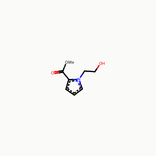 COC(=O)c1cccn1CCO